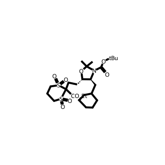 CCOC(=O)C1(CC[C@@H]2OC(C)(C)N(C(=O)OC(C)(C)C)[C@H]2CC2CCCCC2)S(=O)(=O)CCCS1(=O)=O